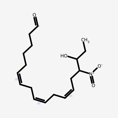 CCC(O)C(C/C=C\C/C=C\C/C=C\CCCC[C]=O)[N+](=O)[O-]